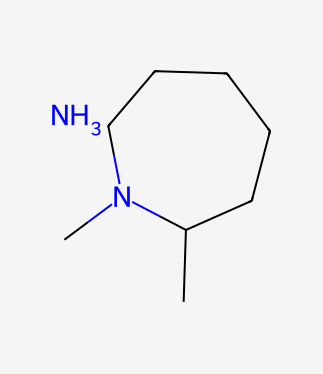 CC1CCCCCN1C.N